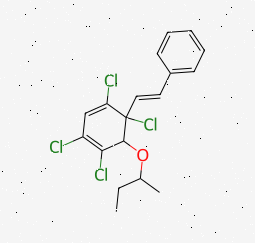 CCC(C)OC1C(Cl)=C(Cl)C=C(Cl)C1(Cl)/C=C/c1ccccc1